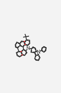 CC(C)(C)c1ccc(N(c2ccc3c(c2)c2ccccc2n3-c2ccccc2)c2ccccc2-c2cccc3cccc(-c4ccccc4)c23)cc1